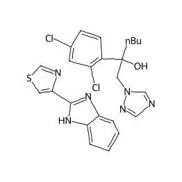 CCCCC(O)(Cn1cncn1)c1ccc(Cl)cc1Cl.c1ccc2[nH]c(-c3cscn3)nc2c1